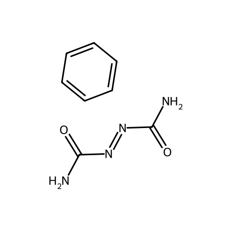 NC(=O)N=NC(N)=O.c1ccccc1